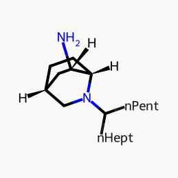 CCCCCCCC(CCCCC)N1C[C@@H]2CC[C@H]1[C@@H](N)C2